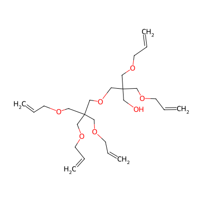 C=CCOCC(CO)(COCC=C)COCC(COCC=C)(COCC=C)COCC=C